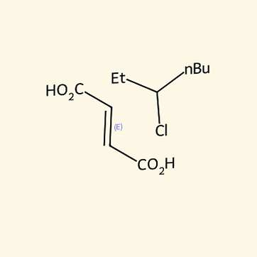 CCCCC(Cl)CC.O=C(O)/C=C/C(=O)O